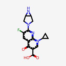 O=C(O)c1cn(C2CC2)c2nc(N3CC4NC4C3)c(F)cc2c1=O